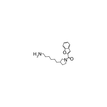 NCCCCCCC1CCN(C(=O)c2cc3ccccc3o2)C1